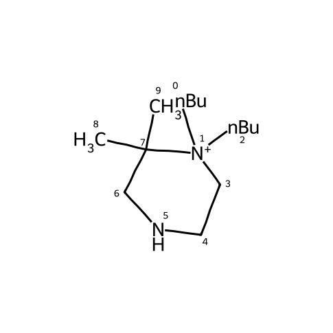 CCCC[N+]1(CCCC)CCNCC1(C)C